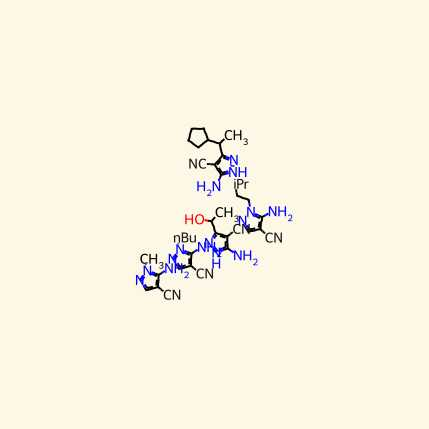 CC(C)CCn1ncc(C#N)c1N.CC(O)c1n[nH]c(N)c1C#N.CC(c1n[nH]c(N)c1C#N)C1CCCC1.CCCCn1ncc(C#N)c1N.Cn1ncc(C#N)c1N